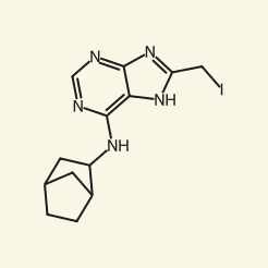 ICc1nc2ncnc(NC3CC4CCC3C4)c2[nH]1